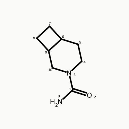 NC(=O)N1CCC2CCC2C1